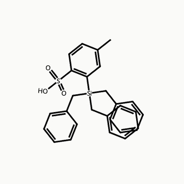 Cc1ccc(S(=O)(=O)O)c([Si](Cc2ccccc2)(Cc2ccccc2)Cc2ccccc2)c1